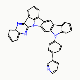 c1cncc(-c2ccc(-n3c4ccccc4c4cc5c6cccc7c8nc9ccccc9nc8n(c5cc43)c67)cc2)c1